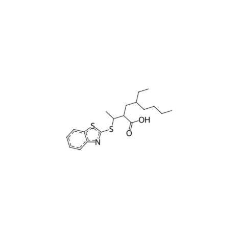 CCCCC(CC)CC(C(=O)O)C(C)Sc1nc2ccccc2s1